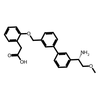 COC[C@@H](N)c1cccc(-c2cccc(COc3ccccc3CC(=O)O)c2)c1